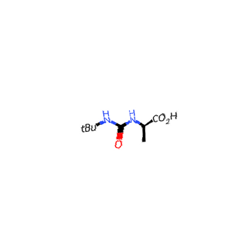 C[C@@H](NC(=O)NC(C)(C)C)C(=O)O